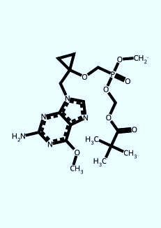 [CH2]OP(=O)(COC1(Cn2cnc3c(OC)nc(N)nc32)CC1)OCOC(=O)C(C)(C)C